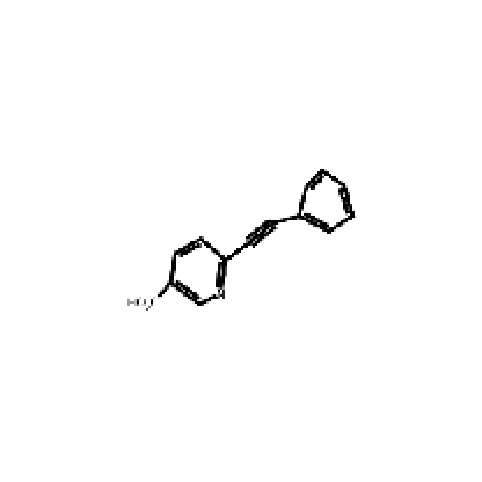 O=C(O)c1ccc(C#Cc2ccccc2)nc1